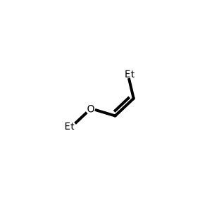 CC/C=C\OCC